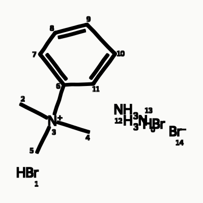 Br.Br.C[N+](C)(C)c1ccccc1.N.N.[Br-]